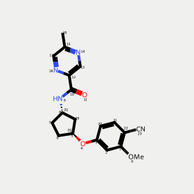 COc1cc(O[C@H]2CC[C@H](NC(=O)c3cnc(C)cn3)C2)ccc1C#N